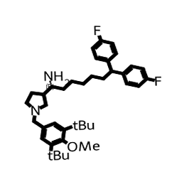 COc1c(C(C)(C)C)cc(CN2CCC([C@H](N)CCCCCC(c3ccc(F)cc3)c3ccc(F)cc3)C2)cc1C(C)(C)C